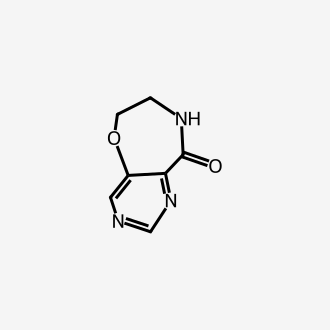 O=C1NCCOc2cncnc21